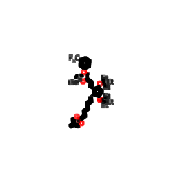 CC[Si](CC)(CC)O[C@H]1C[C@@H](O[Si](CC)(CC)CC)[C@H](C=C[C@H](COc2cccc(C(F)(F)F)c2)O[Si](C)(C)C(C)(C)C)[C@H]1CC=CCCCC12OCC(C)(CO1)CO2